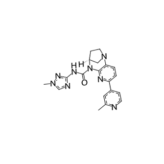 Cc1cc(-c2ccc3c(n2)N(C(=O)Nc2ncn(C)n2)[C@H]2CCN3C2)ccn1